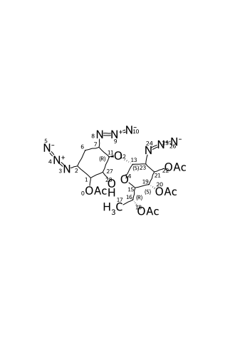 CC(=O)OC1C(N=[N+]=[N-])CC(N=[N+]=[N-])[C@@H](O[C@H]2OC([C@@H](C)OC(C)=O)[C@@H](OC(C)=O)C(OC(C)=O)C2N=[N+]=[N-])C1O